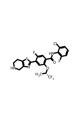 C[C@H](Oc1cc(-c2nc3c(s2)CCNC3)c(F)cc1C(=O)Nc1c(F)cccc1Cl)C(F)(F)F